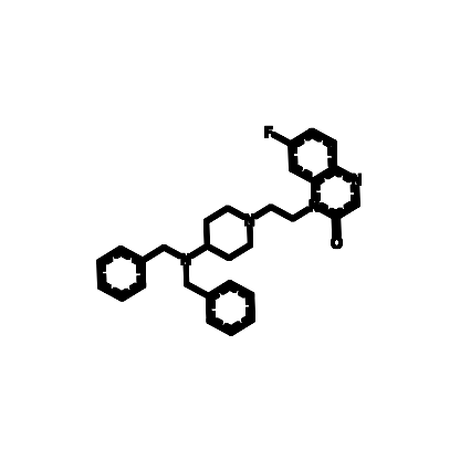 O=c1cnc2ccc(F)cc2n1CCN1CCC(N(Cc2ccccc2)Cc2ccccc2)CC1